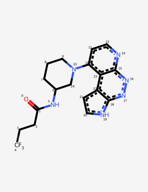 O=C(CCC(F)(F)F)NC1CCCN(c2ccnc3nnc4[nH]ccc4c23)C1